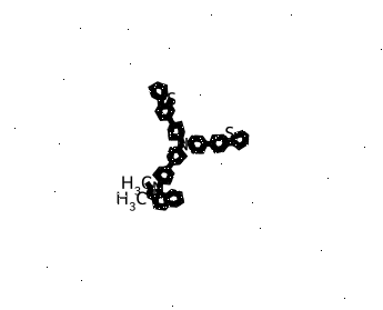 Cc1c(C)n(-c2ccc(-c3ccc(N(c4ccc(-c5ccc6c(c5)sc5ccccc56)cc4)c4ccc(-c5ccc6c(c5)sc5ccccc56)cc4)cc3)cc2)c2c1ccc1ccccc12